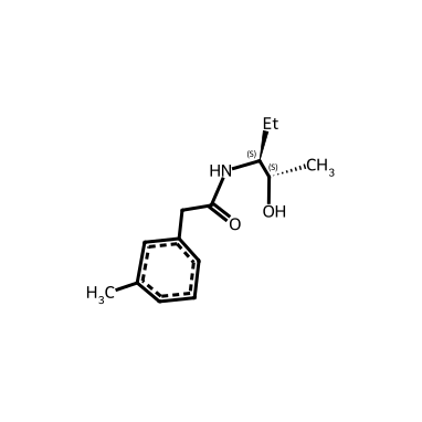 CC[C@H](NC(=O)Cc1cccc(C)c1)[C@H](C)O